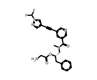 CN(C[C@H](Cc1ccccc1)OC(=O)CN)C(=O)c1cncc(C#Cc2cnn(C(F)F)c2)c1